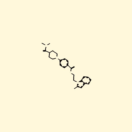 Cc1cc2ccccc2n1CCNC(=O)c1ccc(N2CCC(C(=O)N(C)C)CC2)cc1